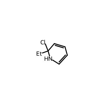 [CH2]CC1(Cl)C=CC=CN1